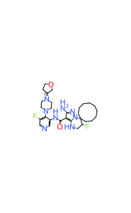 Nc1nn2c(c1C(=O)Nc1cncc(F)c1N1CCN([C@H]3CCOC3)CC1)NCC(F)C21CCCCCCCCC1